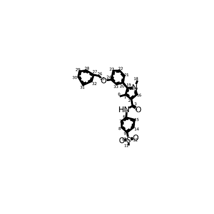 Cc1c(C(=O)Nc2ccc(S(C)(=O)=O)cc2)cn(C)c1-c1cccc(OCc2ccccc2)c1